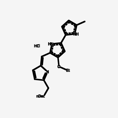 CCCCCCCCCCCC1=NC(=Cc2[nH]c(-c3ccc(C)[nH]3)cc2OCC)C=C1.Cl